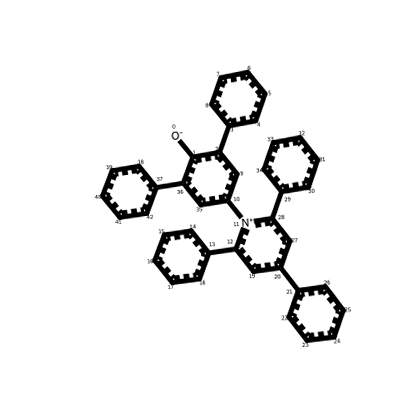 [O-]c1c(-c2ccccc2)cc(-[n+]2c(-c3ccccc3)cc(-c3ccccc3)cc2-c2ccccc2)cc1-c1ccccc1